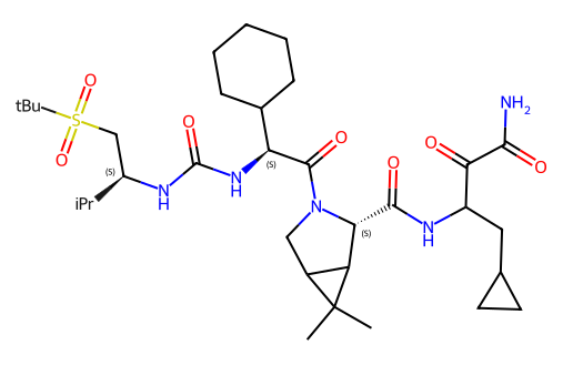 CC(C)[C@@H](CS(=O)(=O)C(C)(C)C)NC(=O)N[C@H](C(=O)N1CC2C([C@H]1C(=O)NC(CC1CC1)C(=O)C(N)=O)C2(C)C)C1CCCCC1